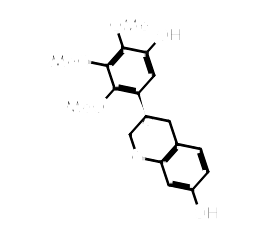 COc1c(O)cc([C@@H]2COc3cc(O)ccc3C2)c(OC)c1OC